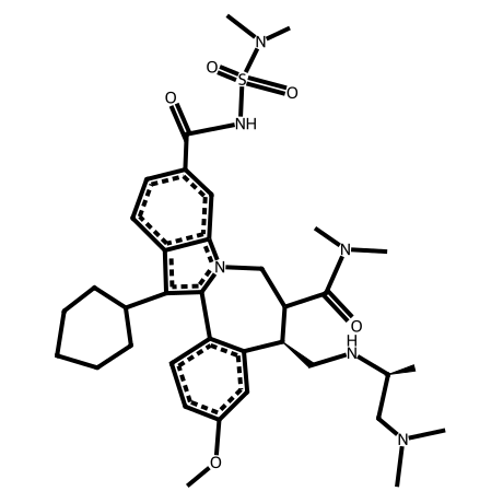 COc1ccc2c(c1)[C@H](CN[C@@H](C)CN(C)C)C(C(=O)N(C)C)Cn1c-2c(C2CCCCC2)c2ccc(C(=O)NS(=O)(=O)N(C)C)cc21